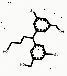 CC(C)(C)c1cc(CO)cc(C(CCCO)c2cc(CO)cc(C(C)(C)C)c2)c1